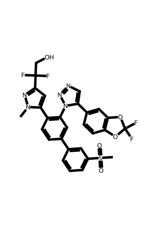 Cn1nc(C(F)(F)CO)cc1-c1ccc(-c2cccc(S(C)(=O)=O)c2)cc1-n1nncc1-c1ccc2c(c1)OC(F)(F)O2